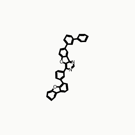 c1ccc(-c2cccc(-c3ccc4oc5c(-c6cccc(-c7cccc8c7oc7ccccc78)c6)ncnc5c4c3)c2)cc1